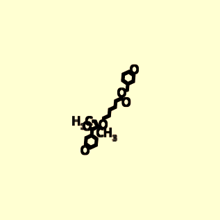 CCC(C)(OCCCCCC(=O)OCC1CCC2OC2C1)C(=O)C1CCC2OC2C1